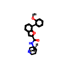 CCCOc1ccccc1-c1cccc2cc(C(=O)N[C@@H]3CN4CCC3CC4)oc12